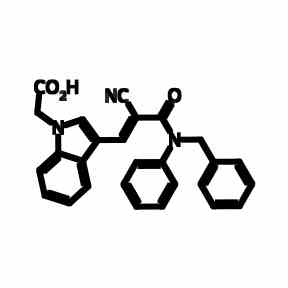 N#C/C(=C\c1cn(CC(=O)O)c2ccccc12)C(=O)N(Cc1ccccc1)c1ccccc1